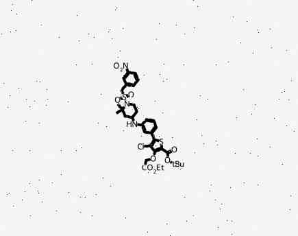 CCOC(=O)COc1c(C(=O)OC(C)(C)C)sc(-c2cccc(NC3CCN(S(=O)(=O)Cc4cccc([N+](=O)[O-])c4)C(C)(C)C3)c2)c1Cl